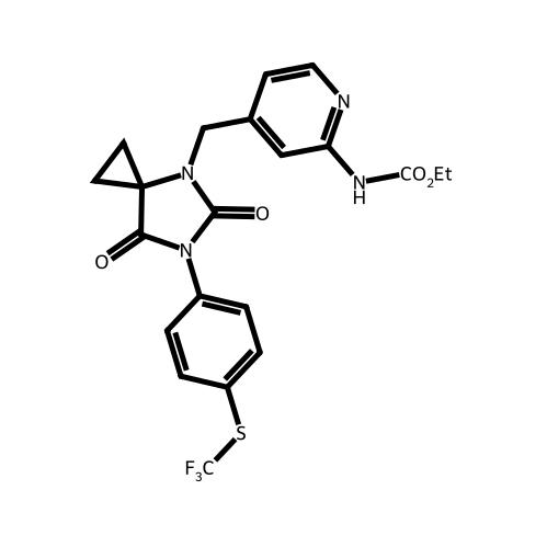 CCOC(=O)Nc1cc(CN2C(=O)N(c3ccc(SC(F)(F)F)cc3)C(=O)C23CC3)ccn1